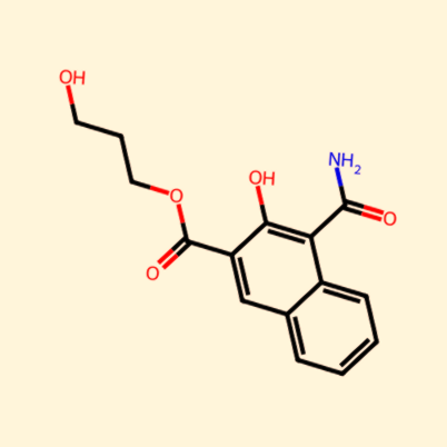 NC(=O)c1c(O)c(C(=O)OCCCO)cc2ccccc12